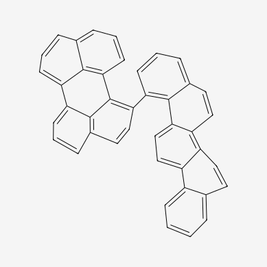 c1ccc2c(c1)ccc1c2ccc2c1ccc1cccc(-c3ccc4cccc5c6cccc7cccc(c3c45)c76)c12